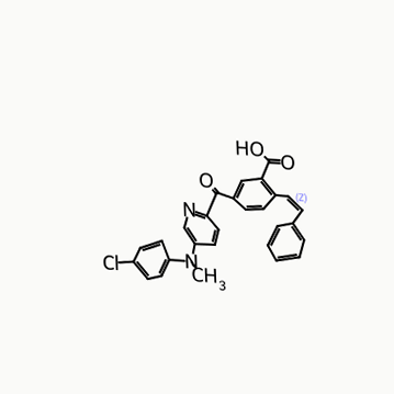 CN(c1ccc(Cl)cc1)c1ccc(C(=O)c2ccc(/C=C\c3ccccc3)c(C(=O)O)c2)nc1